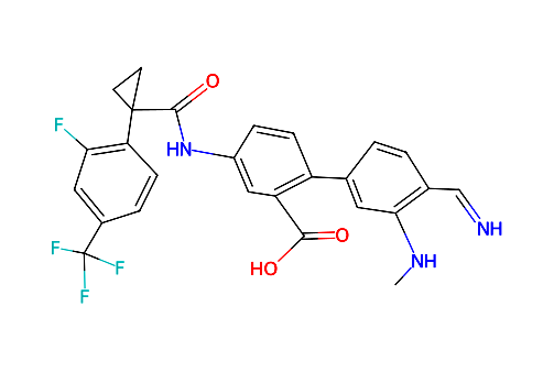 CNc1cc(-c2ccc(NC(=O)C3(c4ccc(C(F)(F)F)cc4F)CC3)cc2C(=O)O)ccc1C=N